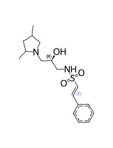 CC1CC(C)N(C[C@@H](O)CNS(=O)(=O)/C=C/c2ccccc2)C1